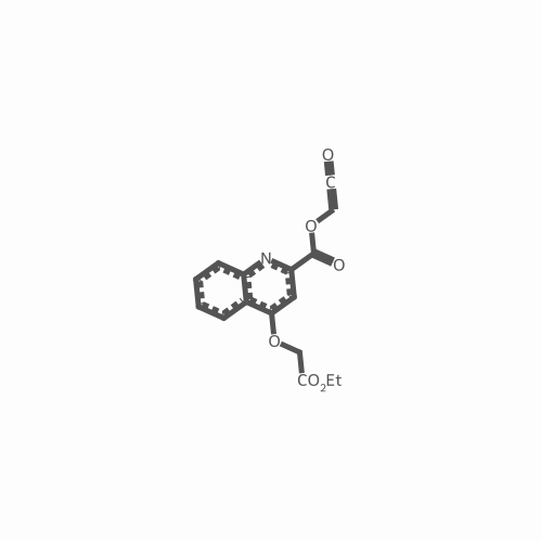 CCOC(=O)COc1cc(C(=O)OC=C=O)nc2ccccc12